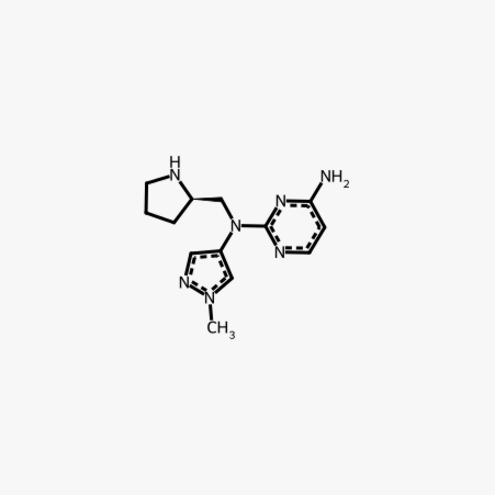 Cn1cc(N(C[C@H]2CCCN2)c2nccc(N)n2)cn1